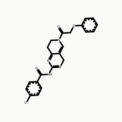 O=C(NC1=NCC2=CN(C(=O)COc3ccccc3)CCC2=N1)c1ccc(Cl)cc1